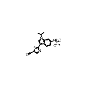 CC(C)n1cc(-c2ncc(C#N)s2)c2ccc(NS(C)(=O)=O)cc21